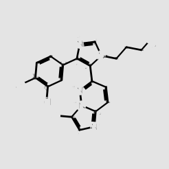 Cc1cnc2ccc(-c3c(-c4ccc(F)c(Cl)c4)ncn3CCCCl)nn12